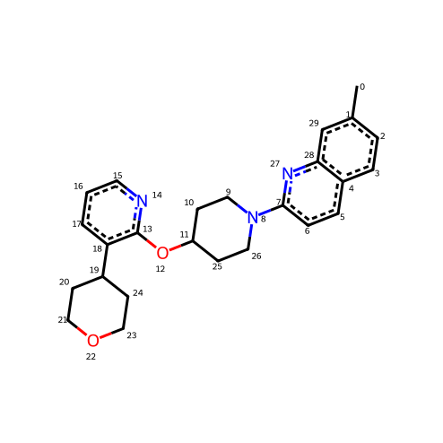 Cc1ccc2ccc(N3CCC(Oc4ncccc4C4CCOCC4)CC3)nc2c1